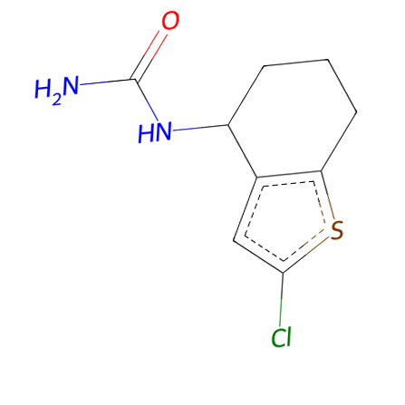 NC(=O)NC1CCCc2sc(Cl)cc21